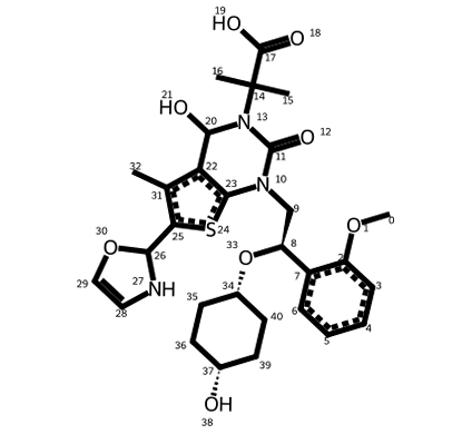 COc1ccccc1[C@H](CN1C(=O)N(C(C)(C)C(=O)O)C(O)c2c1sc(C1NC=CO1)c2C)O[C@H]1CC[C@@H](O)CC1